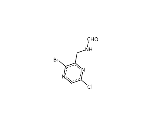 O=CNCc1nc(Cl)cnc1Br